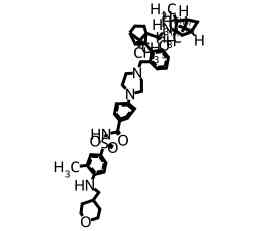 Cc1cc(S(=O)(=O)NC(=O)c2ccc(N3CCN(Cc4ccccc4C4=CC5CCC4(C(=O)N[C@H]4C[C@H]6C[C@@H]([C@@H]4C)C6(C)C)C5(C)C)CC3)cc2)ccc1NCC1CCOCC1